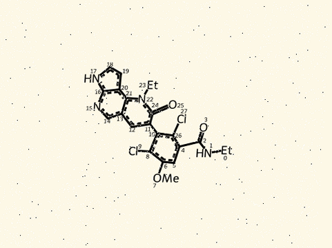 CCNC(=O)c1cc(OC)c(Cl)c(-c2cc3cnc4[nH]ccc4c3n(CC)c2=O)c1Cl